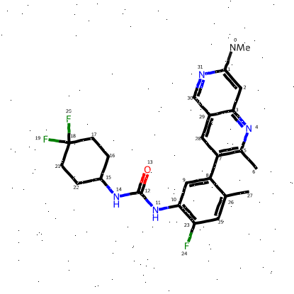 CNc1cc2nc(C)c(-c3cc(NC(=O)NC4CCC(F)(F)CC4)c(F)cc3C)cc2cn1